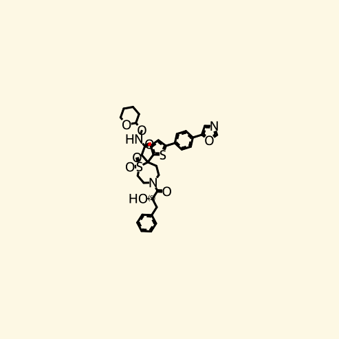 O=C(CC1(c2ccc(-c3ccc(-c4cnco4)cc3)s2)CCN(C(=O)[C@@H](O)Cc2ccccc2)CCS1(=O)=O)NOC1CCCCO1